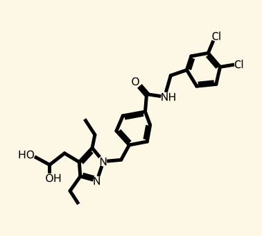 CCc1nn(Cc2ccc(C(=O)NCc3ccc(Cl)c(Cl)c3)cc2)c(CC)c1CC(O)O